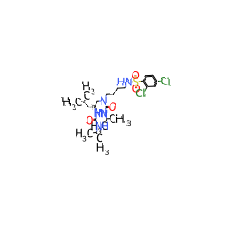 CC(C)C[C@H](CN(CCCCNS(=O)(=O)c1ccc(Cl)cc1Cl)C(=O)NC(C)C)NC(=O)NC(C)C